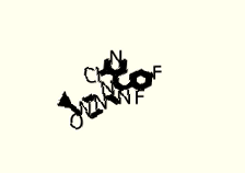 O=C(C1CC1)N1CCN(c2cnc(-c3ccc(F)cc3F)c(-c3ccncc3Cl)n2)CC1